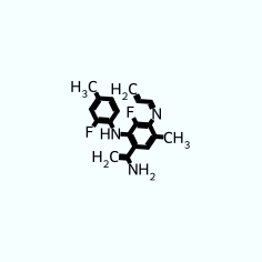 C=C/C=N\c1c(C)cc(C(=C)N)c(Nc2ccc(C)cc2F)c1F